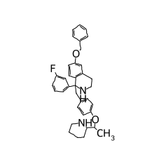 CC(Oc1ccc(CC2(c3cccc(F)c3)NCCc3cc(OCc4ccccc4)ccc32)cc1)C1CCCCN1